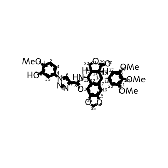 COc1ccc(-n2cc(C(=O)N[C@@H]3c4cc5c(cc4[C@@H](c4cc(OC)c(OC)c(OC)c4)[C@H]4C(=O)OC[C@@H]43)OCO5)nn2)cc1O